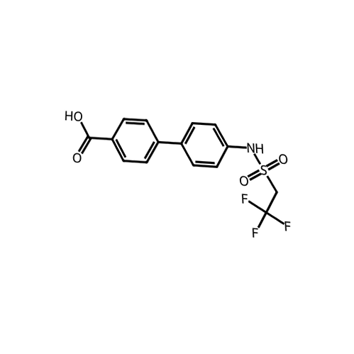 O=C(O)c1ccc(-c2ccc(NS(=O)(=O)CC(F)(F)F)cc2)cc1